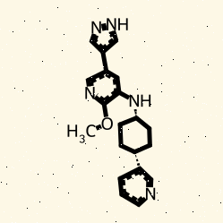 COc1ncc(-c2cn[nH]c2)cc1N[C@H]1CC[C@@H](c2cccnc2)CC1